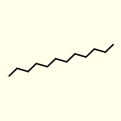 [CH2]C[CH]CCCCCCCCC